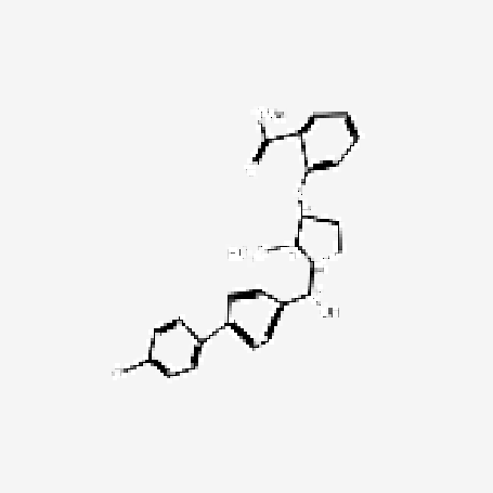 COC(=O)c1ccccc1S[C@H]1CC[C@H]([C@H](O)c2ccc(-c3ccc(Cl)cc3)cc2)[C@H]1C(=O)O